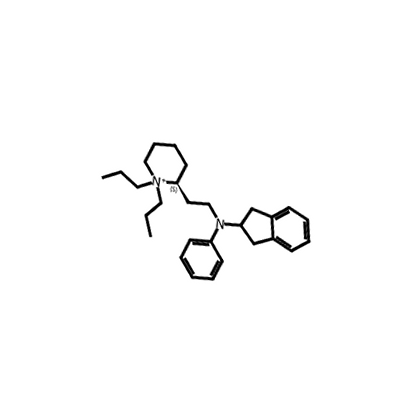 CCC[N+]1(CCC)CCCC[C@H]1CCN(c1ccccc1)C1Cc2ccccc2C1